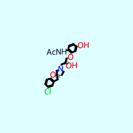 CC(=O)Nc1ccc(O)cc1OC[C@@H](O)CN1CC[C@@]2(Cc3cc(Cl)ccc3O2)C1